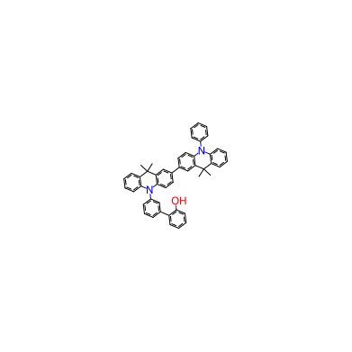 CC1(C)c2ccccc2N(c2ccccc2)c2ccc(-c3ccc4c(c3)C(C)(C)c3ccccc3N4c3cccc(-c4ccccc4O)c3)cc21